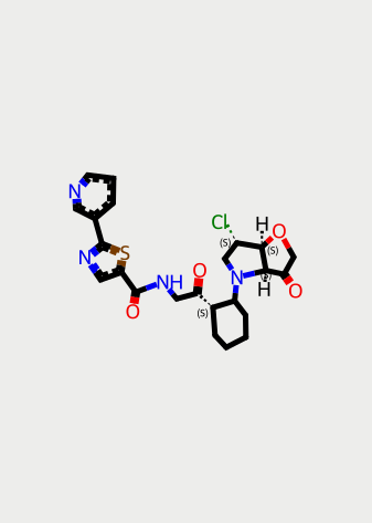 O=C(NCC(=O)[C@H]1CCCCC1N1C[C@H](Cl)[C@H]2OCC(=O)[C@H]21)c1cnc(-c2cccnc2)s1